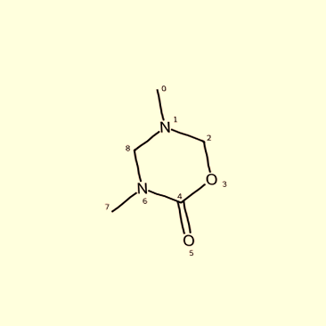 CN1COC(=O)N(C)C1